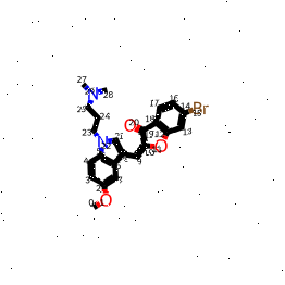 COc1ccc2c(c1)c(C=C1Oc3cc(Br)ccc3C1=O)cn2CCCN(C)C